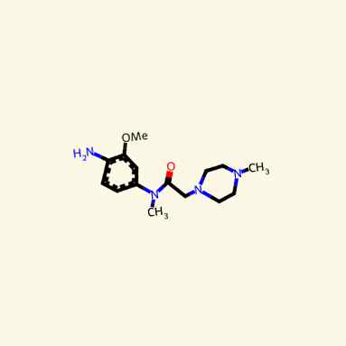 COc1cc(N(C)C(=O)CN2CCN(C)CC2)ccc1N